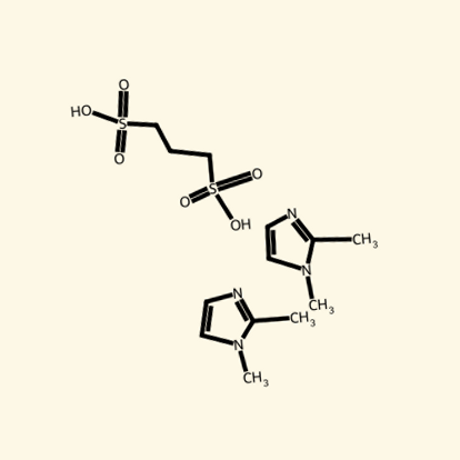 Cc1nccn1C.Cc1nccn1C.O=S(=O)(O)CCCS(=O)(=O)O